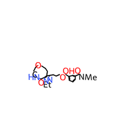 CCn1nc(CCCOC(O)c2cccc(C(=O)NC)c2)c2c1C(=O)NCCCOCCC2